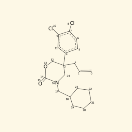 C=CCC1(c2ccc(Cl)c(Cl)c2)COC(=O)N(CC2CCCCC2)C1